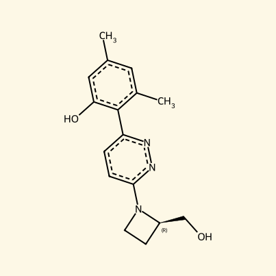 Cc1cc(C)c(-c2ccc(N3CC[C@@H]3CO)nn2)c(O)c1